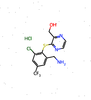 Cl.NCc1cc(C(F)(F)F)cc(Cl)c1Sc1nccnc1CO